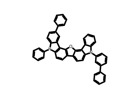 c1ccc(-c2cccc(-n3c4ccccc4c4c5oc6c(ccc7c6c6cc(-c8ccccc8)ccc6n7-c6ccccc6)c5ccc43)c2)cc1